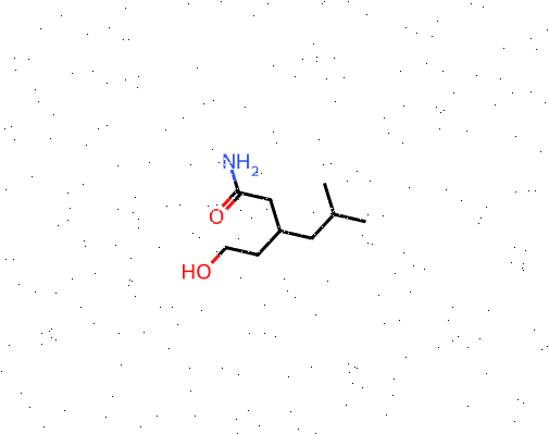 CC(C)CC(CCO)CC(N)=O